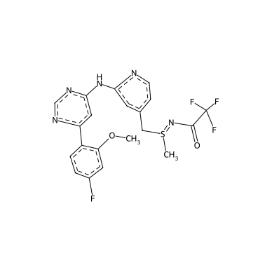 COc1cc(F)ccc1-c1cc(Nc2cc(CS(C)=NC(=O)C(F)(F)F)ccn2)ncn1